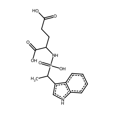 CC(c1c[nH]c2ccccc12)P(=O)(O)NC(CCC(=O)O)C(=O)O